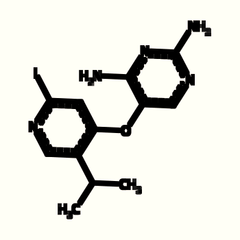 CC(C)c1cnc(I)cc1Oc1cnc(N)nc1N